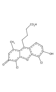 Cc1cc(=O)c(Cl)c2oc3c(Cl)c(O)ccc3c(CCCC(=O)O)c1-2